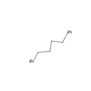 [CH2]C(C)CCCCC([CH2])C